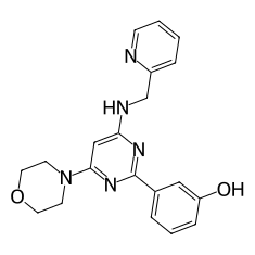 Oc1cccc(-c2nc(NCc3ccccn3)cc(N3CCOCC3)n2)c1